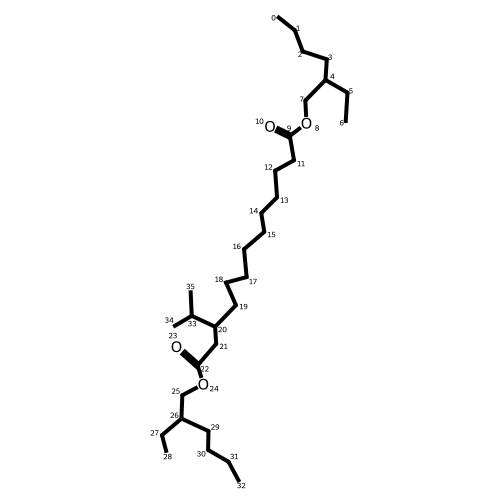 CCCCC(CC)COC(=O)CCCCCCCCCC(CC(=O)OCC(CC)CCCC)C(C)C